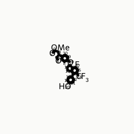 COC(=O)CC1COc2cc(O[C@@H]3CCc4c(-c5ccc(O)cc5)c(C(F)(F)F)cc(F)c43)ccc21